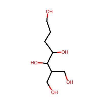 OCCCC(O)C(O)C(CO)CO